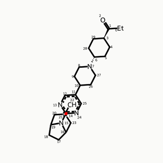 CCC(=O)[C@H]1CC[C@H](N2CCC(c3cnc(N4C5CCC4CN(C)C5)nc3)CC2)CC1